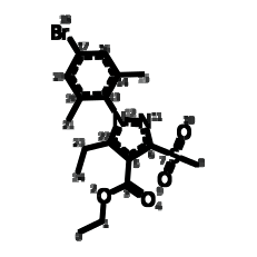 CCOC(=O)c1c(S(C)(=O)=O)nn(-c2c(C)cc(Br)cc2C)c1CC